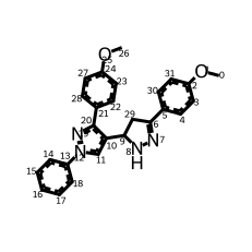 COc1ccc(C2=NNC(c3cn(-c4ccccc4)nc3-c3ccc(OC)cc3)C2)cc1